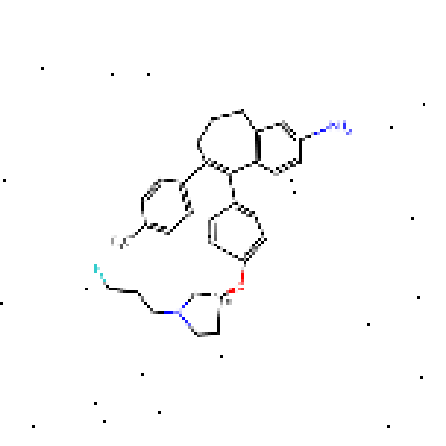 Nc1ccc2c(c1)CCCC(c1ccc(C(F)(F)F)cc1)=C2c1ccc(O[C@H]2CCN(CCCF)C2)cc1